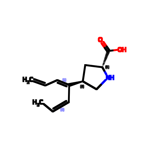 C=C/C=C(\C=C/C)[C@@H]1CN[C@@H](C(=O)O)C1